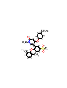 CCS(=O)(=O)c1ccc(Oc2c(C)cccc2C)c(-c2cn(C)c(=O)cc2OC2CCC(NC(C)=O)CC2)c1